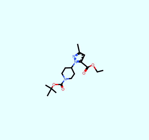 CCOC(=O)c1cc(C)nn1C1CCN(C(=O)OC(C)(C)C)CC1